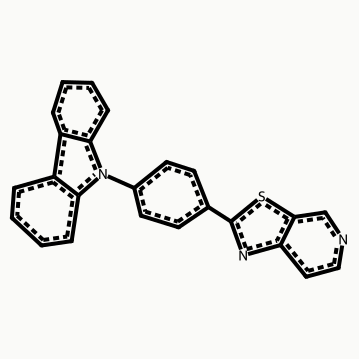 c1ccc2c(c1)c1ccccc1n2-c1ccc(-c2nc3ccncc3s2)cc1